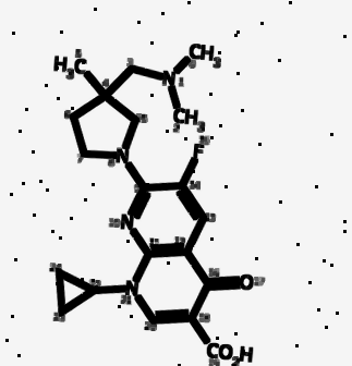 CN(C)CC1(C)CCN(c2nc3c(cc2F)c(=O)c(C(=O)O)cn3C2CC2)C1